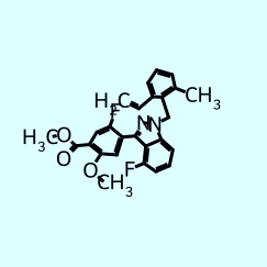 C=Cc1cccc(C)c1Cn1nc(-c2cc(OC)c(C(=O)OC)cc2F)c2c(F)cccc21